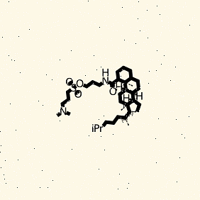 CC(C)CCC[C@@H](C)[C@H]1CC[C@H]2[C@@H]3CCC4CCCC(C(=O)NCCCOS(=O)(=O)CCCN(C)C)[C@]4(C)[C@H]3CC[C@]12C